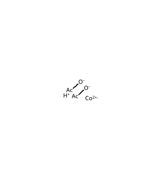 CC(=O)[O-].CC(=O)[O-].[Co+2].[H+]